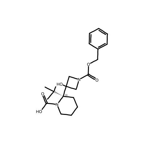 CC(C)(C)[C@]1(C2(O)CN(C(=O)OCc3ccccc3)C2)CCCCN1C(=O)O